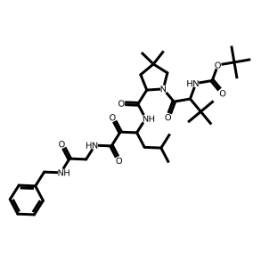 CC(C)CC(NC(=O)C1CC(C)(C)CN1C(=O)C(NC(=O)OC(C)(C)C)C(C)(C)C)C(=O)C(=O)NCC(=O)NCc1ccccc1